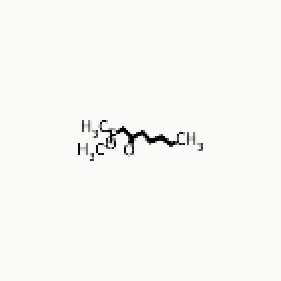 CCCCCC(=O)CP(C)OC